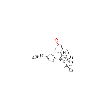 CC[C@]1(C)CC[C@H]2[C@@H]3CCC4=CC(=O)CCC4=C3[C@@H](c3ccc(C=O)cc3)C[C@@]21C